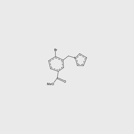 COC(=O)c1ccc(Br)c(Cn2cccc2)c1